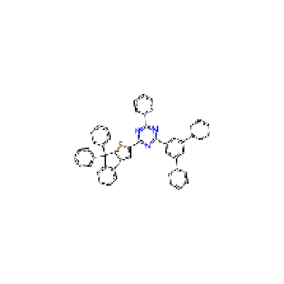 c1ccc(-c2cc(-c3ccccc3)cc(-c3nc(-c4ccccc4)nc(-c4cc5c(s4)C(c4ccccc4)(c4ccccc4)c4ccccc4-5)n3)c2)cc1